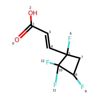 O=C(O)C=CC1(F)CC(F)C1(F)F